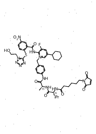 CC(C)[C@H](NC(=O)CCCCCN1C(=O)C=CC1=O)C(=O)N[C@@H](C)C(=O)Nc1ccc(C[n+]2cc(C3CCCCC3)cc(F)c2NC(=O)c2cc([N+](=O)[O-])ccc2Sc2nnnn2CCO)cc1